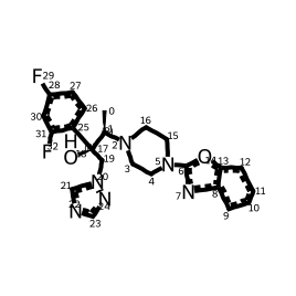 C[C@@H](N1CCN(c2nc3ccccc3o2)CC1)[C@](O)(Cn1cncn1)c1ccc(F)cc1F